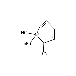 CCCC[N+]1(C#N)C=CC=CC1C#N